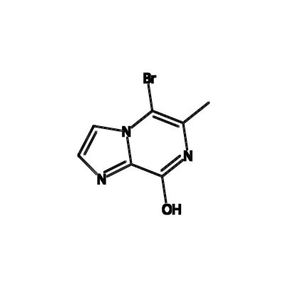 Cc1nc(O)c2nccn2c1Br